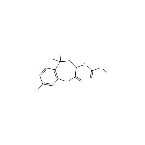 COC(=O)NC1CC(C)(C)c2ccc(N)cc2NC1=O